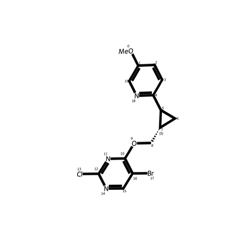 COc1ccc(C2C[C@@H]2COc2nc(Cl)ncc2Br)nc1